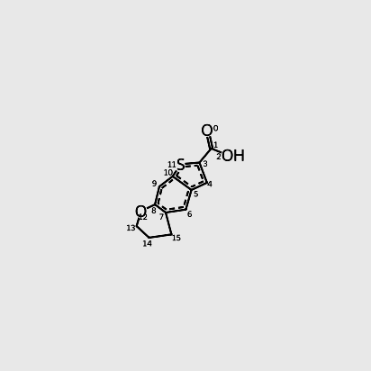 O=C(O)c1cc2cc3c(cc2s1)OCCC3